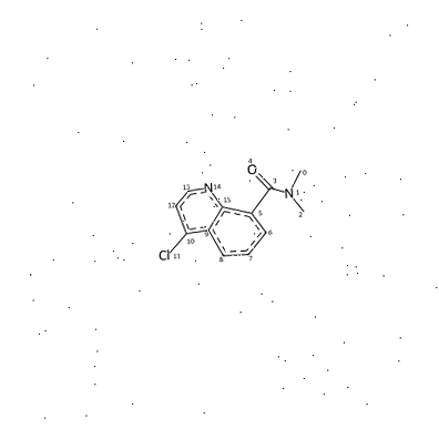 CN(C)C(=O)c1cccc2c(Cl)ccnc12